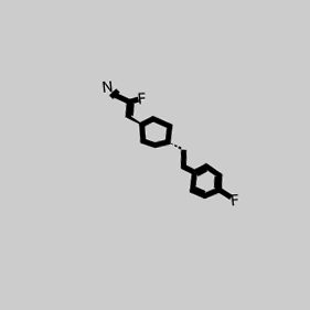 N#CC(F)=C[C@H]1CC[C@H](CCc2ccc(F)cc2)CC1